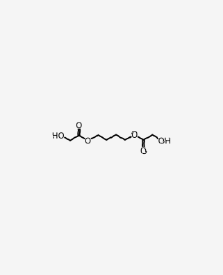 O=C(CO)OCCCCOC(=O)CO